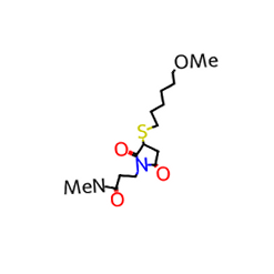 CNC(=O)CCN1C(=O)CC(SCCCCCCOC)C1=O